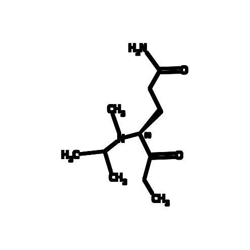 CCC(=O)[C@H](CCC(N)=O)N(C)C(C)C